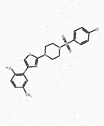 Cc1ccc(C)c(-c2csc(N3CCN(S(=O)(=O)c4ccc(Cl)cc4)CC3)n2)c1